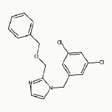 Clc1cc(Cl)cc(Cn2ccnc2COCc2ccccc2)c1